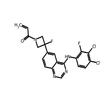 C=CC(=O)N1CC(F)(c2ccc3ncnc(Nc4ccc(Cl)c(Cl)c4F)c3c2)C1